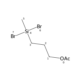 CC(=O)OCCC[Si](C)(Br)Br